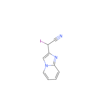 N#CC(I)c1cn2ccccc2n1